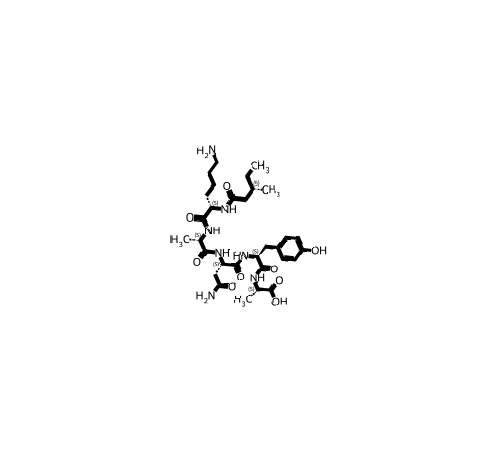 CC[C@H](C)CC(=O)N[C@@H](CCCCN)C(=O)N[C@@H](C)C(=O)N[C@@H](CC(N)=O)C(=O)N[C@@H](Cc1ccc(O)cc1)C(=O)N[C@@H](C)C(=O)O